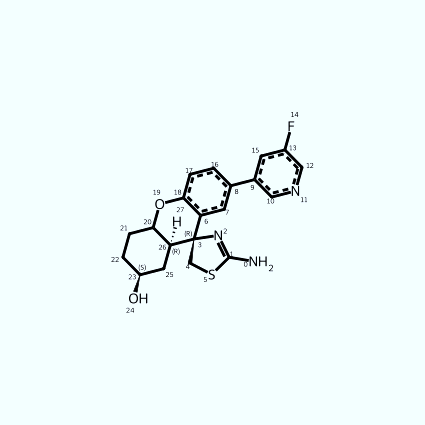 NC1=N[C@@]2(CS1)c1cc(-c3cncc(F)c3)ccc1OC1CC[C@H](O)C[C@@H]12